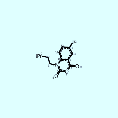 CC(C)CCn1c(=O)oc(=O)c2cc(I)ccc21